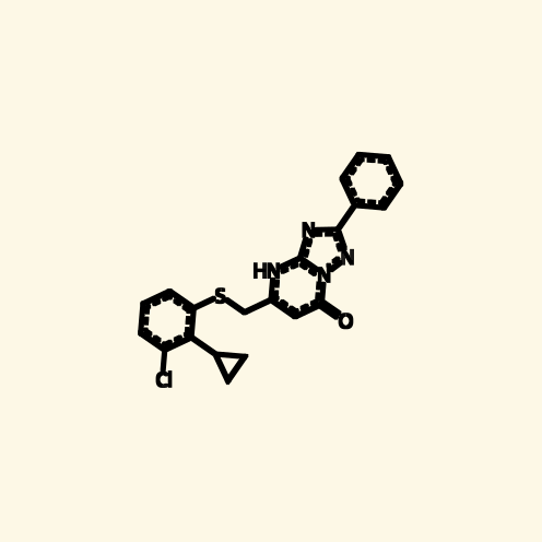 O=c1cc(CSc2cccc(Cl)c2C2CC2)[nH]c2nc(-c3ccccc3)nn12